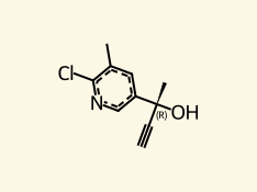 C#C[C@@](C)(O)c1cnc(Cl)c(C)c1